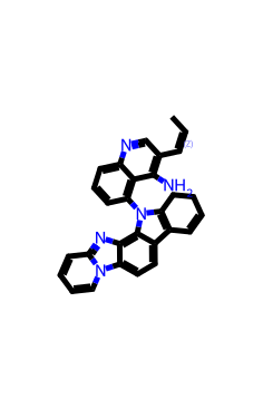 C/C=C\c1cnc2cccc(-n3c4c(c5ccc6c(nc7ccccn76)c53)C=CCC4)c2c1N